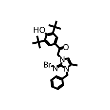 Cc1cn(CC(=O)c2cc(C(C)(C)C)c(O)c(C(C)(C)C)c2)/c(=N\Br)n1Cc1ccccc1